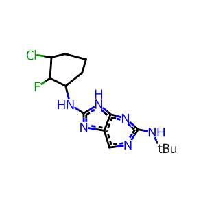 CC(C)(C)Nc1ncc2nc(NC3CCCC(Cl)C3F)[nH]c2n1